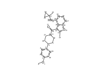 COc1cnc(C2CCN(C(=O)c3c(C)oc4ncnc(NC5(C)CC5)c34)CC2)nc1